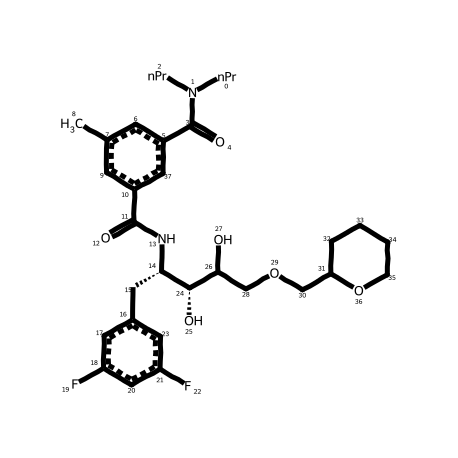 CCCN(CCC)C(=O)c1cc(C)cc(C(=O)N[C@@H](Cc2cc(F)cc(F)c2)[C@@H](O)C(O)COCC2CCCCO2)c1